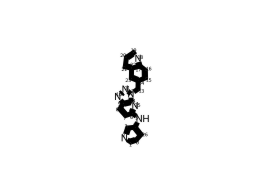 c1cncc(Nc2ccc3nnn(Cc4ccc5ncccc5c4)c3n2)c1